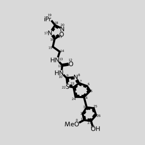 COc1cc(-c2ccc3nc(NC(=O)NCCc4nc(C(C)C)no4)sc3c2)ccc1O